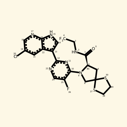 O=C(NCC(F)(F)F)[C@H]1CC2(CN1c1nc(-c3c[nH]c4ncc(Cl)cc34)ncc1F)SCCS2